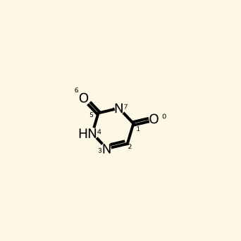 O=C1C=NNC(=O)[N]1